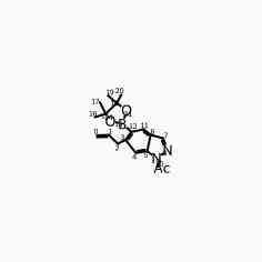 C=CCc1cc2c(cnn2C(C)=O)cc1B1OC(C)(C)C(C)(C)O1